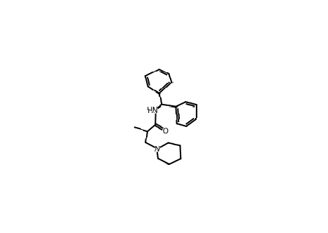 CC(CN1CCCCC1)C(=O)NC(c1ccccc1)c1ccccc1